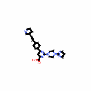 O=C(O)c1cc(-c2ccc(C#Cc3cccnc3)cc2)nc(N2CCN(c3ncccn3)CC2)n1